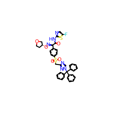 O=C(Nc1ncc(F)s1)/C(=N/O[C@@H]1CCOC1)c1ccc(S(=O)(=O)Cc2ncn(C(c3ccccc3)(c3ccccc3)c3ccccc3)n2)cc1